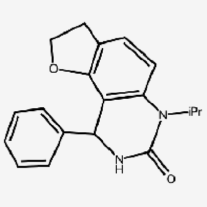 CC(C)N1C(=O)NC(c2ccccc2)c2c1ccc1c2OCC1